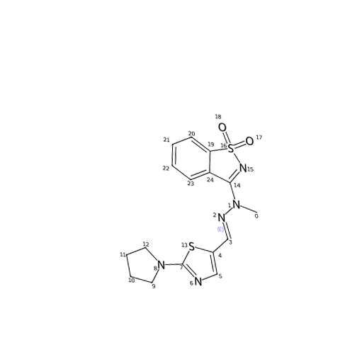 CN(/N=C/c1cnc(N2CCCC2)s1)C1=NS(=O)(=O)c2ccccc21